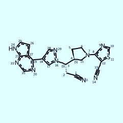 N#CC[C@@H]([C@H]1CCN(c2ncsc2C#N)C1)n1cc(-c2ncnc3[nH]ccc23)cn1